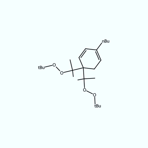 CCCCC1=CCC(C(C)(C)OOC(C)(C)C)(C(C)(C)OOC(C)(C)C)C=C1